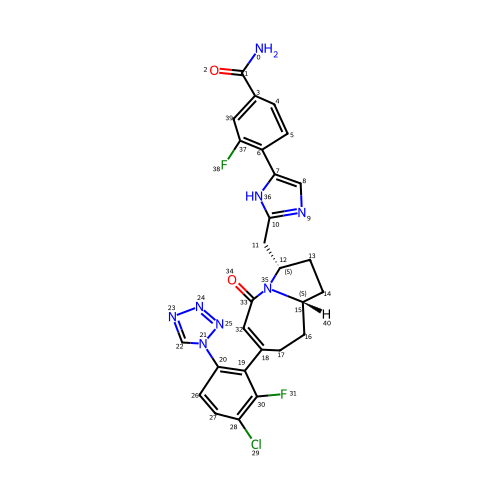 NC(=O)c1ccc(-c2cnc(C[C@@H]3CC[C@@H]4CCC(c5c(-n6cnnn6)ccc(Cl)c5F)=CC(=O)N43)[nH]2)c(F)c1